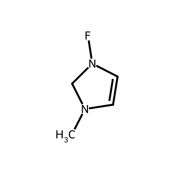 CN1C=CN(F)C1